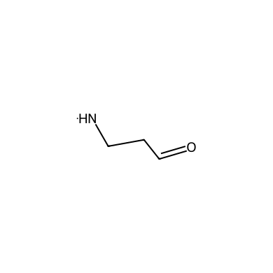 [NH]CCC=O